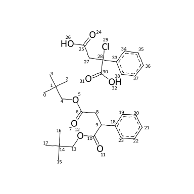 CC(C)(C)COC(=O)CC(C(=O)OCC(C)(C)C)c1ccccc1.O=C(O)CC(Cl)(C(=O)O)c1ccccc1